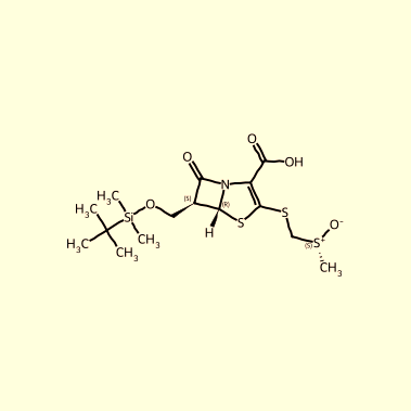 C[S@@+]([O-])CSC1=C(C(=O)O)N2C(=O)[C@H](CO[Si](C)(C)C(C)(C)C)[C@H]2S1